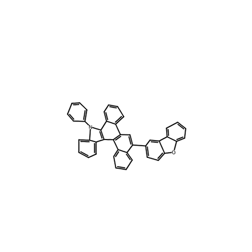 c1ccc(-n2c3ccccc3c3c4c5ccccc5c(-c5ccc6oc7ccccc7c6c5)cc4c4ccccc4c32)cc1